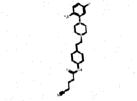 Cc1ccc(F)cc1N1CCN(CCC2CCC(NC(=O)CCCC#N)CC2)CC1